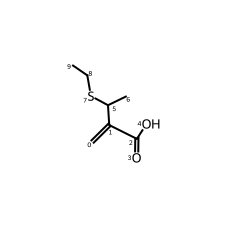 C=C(C(=O)O)C(C)SCC